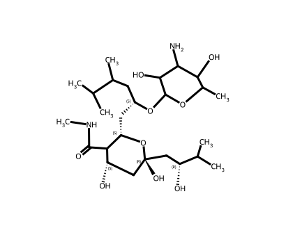 CNC(=O)C1[C@H](C[C@H](CC(C)C(C)C)OC2OC(C)C(O)C(N)C2O)O[C@](O)(C[C@@H](O)C(C)C)C[C@@H]1O